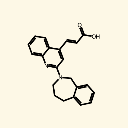 O=C(O)C=Cc1cc(N2CCCc3ccccc3C2)nc2ccccc12